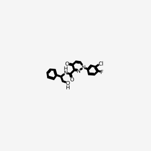 O=C(NC(CO)c1ccccc1)c1nn(-c2ccc(F)c(Cl)c2)ccc1=O